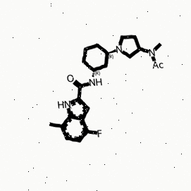 CC(=O)N(C)C1CCN([C@@H]2CCC[C@@H](NC(=O)c3cc4c(F)ccc(C)c4[nH]3)C2)C1